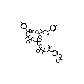 CCC(COC(=O)C(C)(C)CC(Br)c1ccc(C)cc1)(COC(=O)C(C)(C)CC(Br)c1ccc(C)cc1)COC(=O)C(C)(C)CC(Br)c1ccc(OC(C)=O)cc1